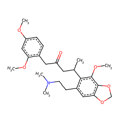 COc1ccc(CC(=O)CC(C)c2c(CCN(C)C)cc3c(c2OC)OCO3)c(OC)c1